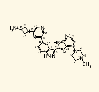 CN1CCN(c2ccnc3[nH]c(-c4n[nH]c5ccc(-c6cncc(N7CC(N)C7)n6)cc45)cc23)CC1